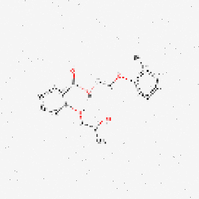 CC(O)COc1ccccc1C(=O)OCCOc1ccccc1C(C)C